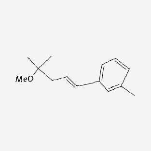 COC(C)(C)C/C=C/c1cccc(C)c1